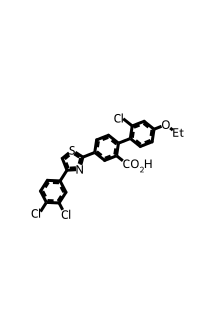 CCOc1ccc(-c2ccc(-c3nc(-c4ccc(Cl)c(Cl)c4)cs3)cc2C(=O)O)c(Cl)c1